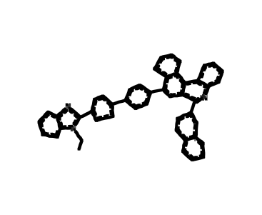 CCn1c(-c2ccc(-c3ccc(-c4cc5c(-c6ccc7ccccc7c6)nc6ccccc6c5c5ccccc45)cc3)cc2)nc2ccccc21